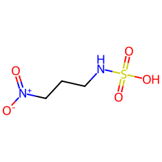 O=[N+]([O-])CCCNS(=O)(=O)O